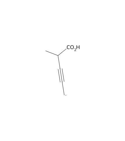 [CH2]C#CC(C)C(=O)O